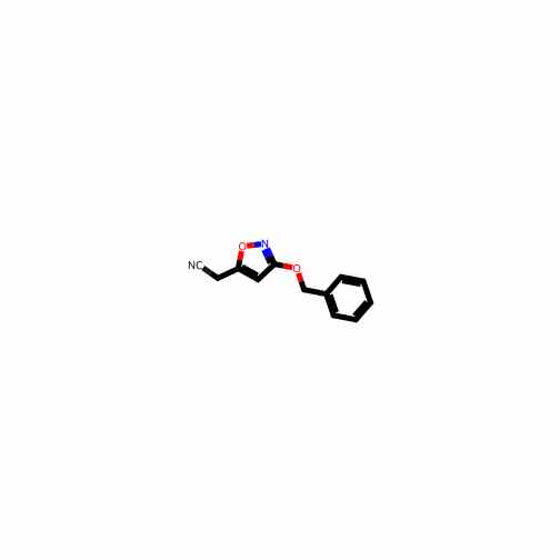 N#CCc1cc(OCc2ccccc2)no1